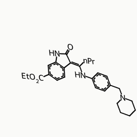 CCCC(Nc1ccc(CN2CCCCC2)cc1)=C1C(=O)Nc2cc(C(=O)OCC)ccc21